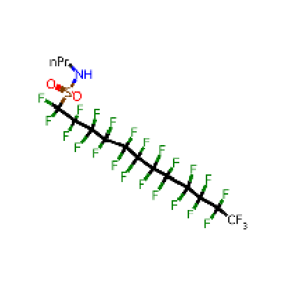 CCCNS(=O)(=O)C(F)(F)C(F)(F)C(F)(F)C(F)(F)C(F)(F)C(F)(F)C(F)(F)C(F)(F)C(F)(F)C(F)(F)C(F)(F)C(F)(F)F